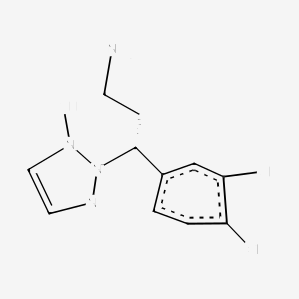 CN1C=CNN1[C@H](CCN)c1ccc(Cl)c(Cl)c1